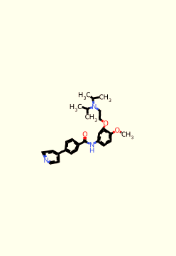 COc1ccc(NC(=O)c2ccc(-c3ccncc3)cc2)cc1OCCN(C(C)C)C(C)C